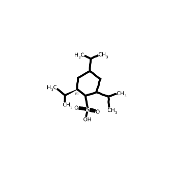 CC(C)C1CC(C(C)C)C(S(=O)(=O)O)[C@@H](C(C)C)C1